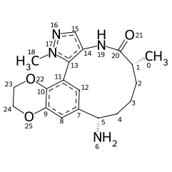 C[C@@H]1CCC[C@H](N)c2cc3c(c(c2)-c2c(cnn2C)NC1=O)OCCO3